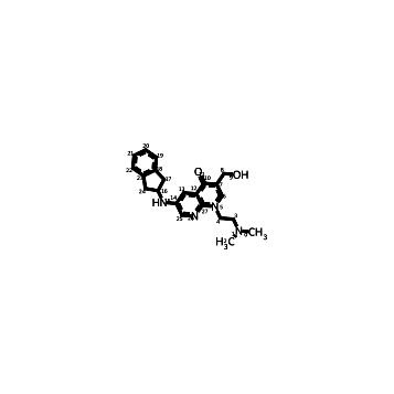 CN(C)CCn1cc(CO)c(=O)c2cc(NC3Cc4ccccc4C3)cnc21